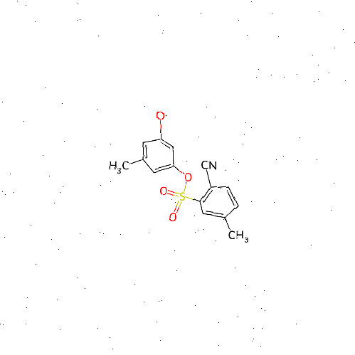 Cc1cc([O])cc(OS(=O)(=O)c2cc(C)ccc2C#N)c1